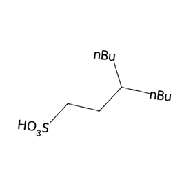 CCCCC(CCCC)CCS(=O)(=O)O